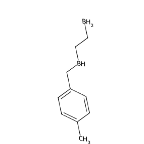 BCCBCc1ccc(C)cc1